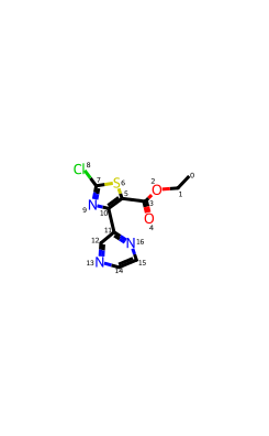 CCOC(=O)c1sc(Cl)nc1-c1cnccn1